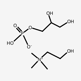 C[N+](C)(C)CCO.O=P([O-])(O)OCC(O)CO